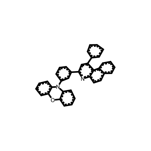 c1ccc(-c2cc(-c3cccc(N4c5ccccc5Oc5ccccc54)c3)nc3ccc4ccccc4c23)cc1